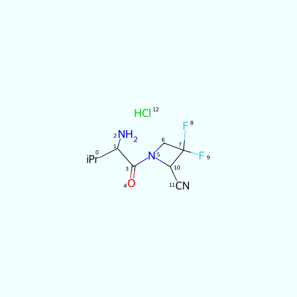 CC(C)C(N)C(=O)N1CC(F)(F)C1C#N.Cl